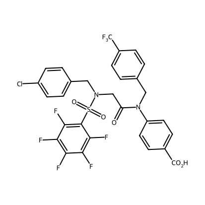 O=C(O)c1ccc(N(Cc2ccc(C(F)(F)F)cc2)C(=O)CN(Cc2ccc(Cl)cc2)S(=O)(=O)c2c(F)c(F)c(F)c(F)c2F)cc1